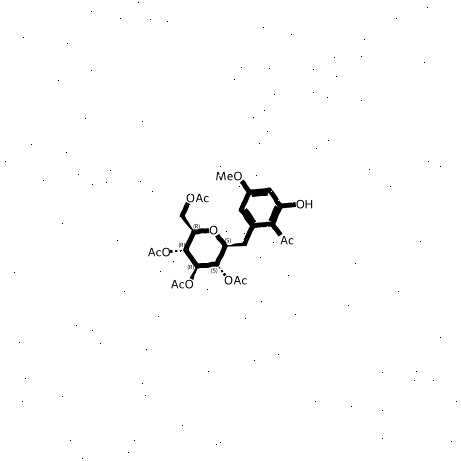 COc1cc(O)c(C(C)=O)c(C[C@@H]2O[C@H](COC(C)=O)[C@@H](OC(C)=O)[C@H](OC(C)=O)[C@H]2OC(C)=O)c1